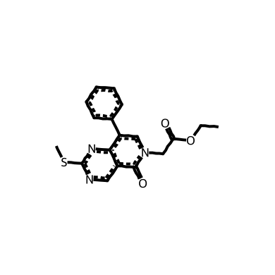 CCOC(=O)Cn1cc(-c2ccccc2)c2nc(SC)ncc2c1=O